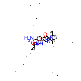 CC(C)CC(=O)c1ccc(N2[C@@H]3CC[C@H]2C[C@@H](NC(=O)c2ccc(C(N)=O)c(NCC4CC4)c2)C3)nc1